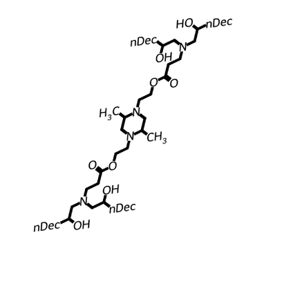 CCCCCCCCCCC(O)CN(CCC(=O)OCCN1CC(C)N(CCOC(=O)CCN(CC(O)CCCCCCCCCC)CC(O)CCCCCCCCCC)CC1C)CC(O)CCCCCCCCCC